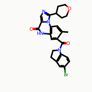 Cc1cc2c(cc1C(=O)N1CCc3cc(Br)ccc31)[nH]c(=O)c1cnc(C3CCOCC3)n12